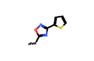 [CH2]CCCCc1nc(-c2cccs2)no1